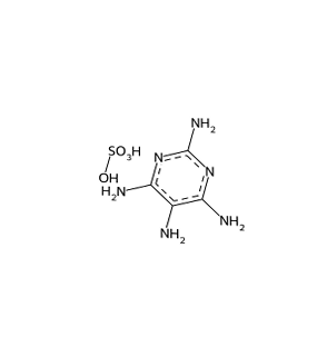 Nc1nc(N)c(N)c(N)n1.O=S(=O)(O)O